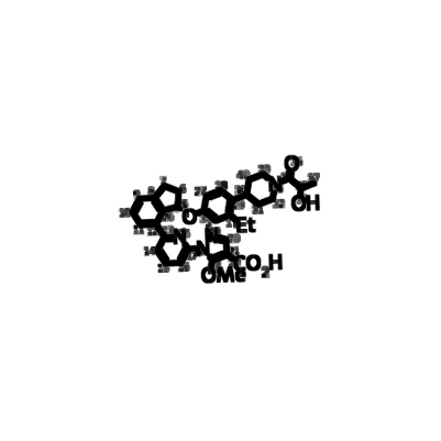 CCc1cc(O[C@H]2CCc3cccc(-c4cccc(-n5ncc(C(=O)O)c5OC)n4)c32)ccc1C1CCN(C(=O)C(C)O)CC1